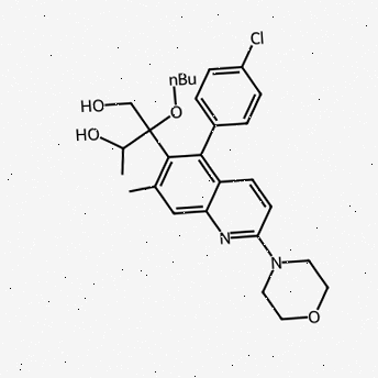 CCCCOC(CO)(c1c(C)cc2nc(N3CCOCC3)ccc2c1-c1ccc(Cl)cc1)C(C)O